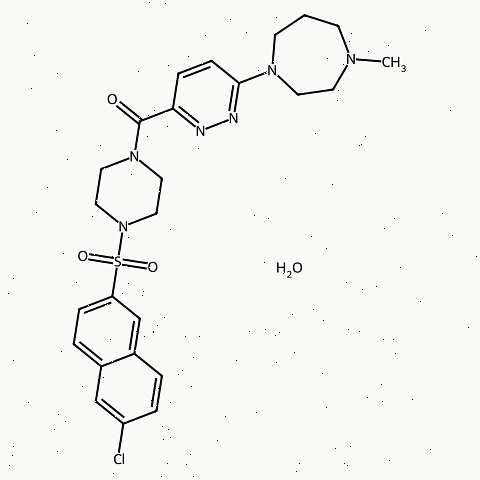 CN1CCCN(c2ccc(C(=O)N3CCN(S(=O)(=O)c4ccc5cc(Cl)ccc5c4)CC3)nn2)CC1.O